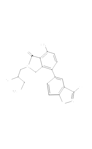 COCC(C#N)CN1Cc2c(-c3ccc4onc(C)c4c3)ccc(N)c2C1=O